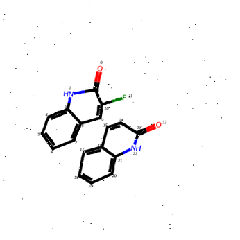 O=c1[nH]c2ccccc2cc1F.O=c1ccc2ccccc2[nH]1